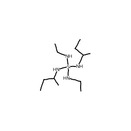 CCN[Si](NCC)(NC(C)CC)NC(C)CC